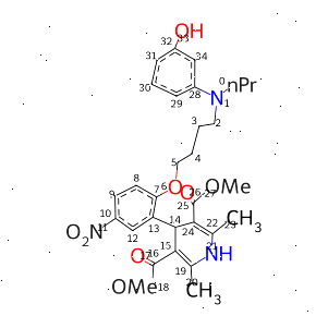 CCCN(CCCCOc1ccc([N+](=O)[O-])cc1C1C(C(=O)OC)=C(C)NC(C)=C1C(=O)OC)c1cccc(O)c1